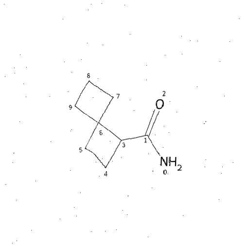 NC(=O)C1CCC12CCC2